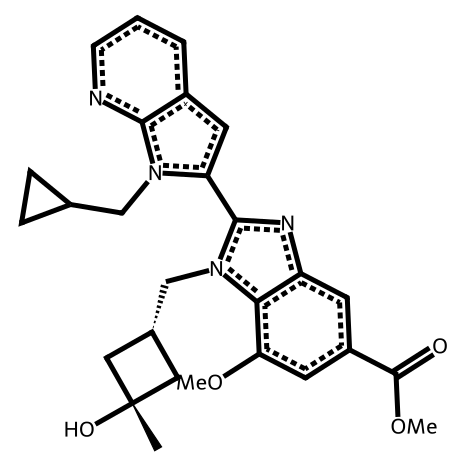 COC(=O)c1cc(OC)c2c(c1)nc(-c1cc3cccnc3n1CC1CC1)n2C[C@H]1C[C@@](C)(O)C1